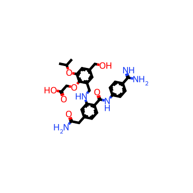 CC(C)Oc1cc(CO)cc(CNc2cc(CC(N)=O)ccc2C(=O)Nc2ccc(C(=N)N)cc2)c1OCC(=O)O